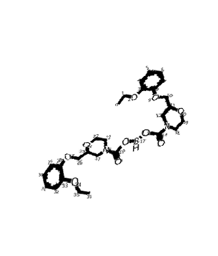 CCOc1ccccc1OCC1CN(C(=O)OBOC(=O)N2CCOC(COc3ccccc3OCC)C2)CCO1